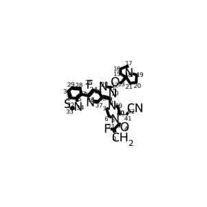 C=C(F)C(=O)N1CCN(c2nc(OCC34CCCN3CCC4)nc3c(F)c(-c4cccc5scnc45)ncc23)C[C@@H]1CC#N